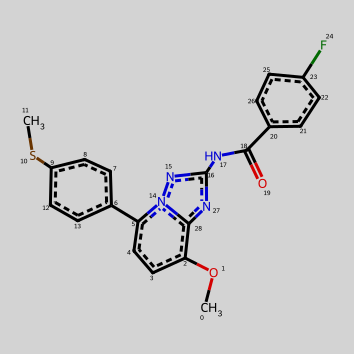 COc1ccc(-c2ccc(SC)cc2)n2nc(NC(=O)c3ccc(F)cc3)nc12